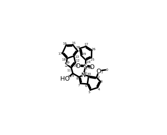 COc1cccc2cc(C(O)c3cc4ccccc4s3)n(S(=O)(=O)c3ccccc3)c12